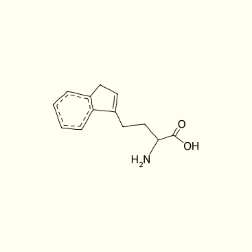 NC(CCC1=CCc2ccccc21)C(=O)O